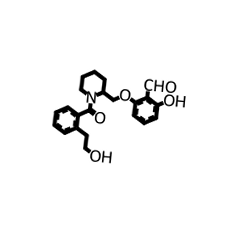 O=Cc1c(O)cccc1OCC1CCCCN1C(=O)c1ccccc1CCO